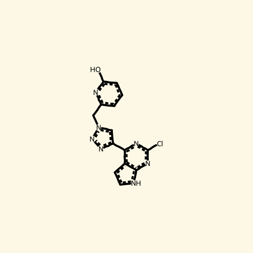 Oc1cccc(Cn2cc(-c3nc(Cl)nc4[nH]ccc34)nn2)n1